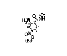 CCNC(=O)c1ccc(C(=O)OC(C)(C)C)cc1N